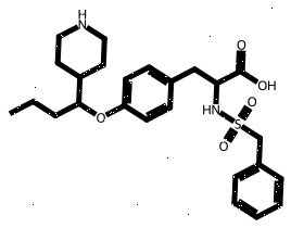 CCCC(Oc1ccc(CC(NS(=O)(=O)Cc2ccccc2)C(=O)O)cc1)C1CCNCC1